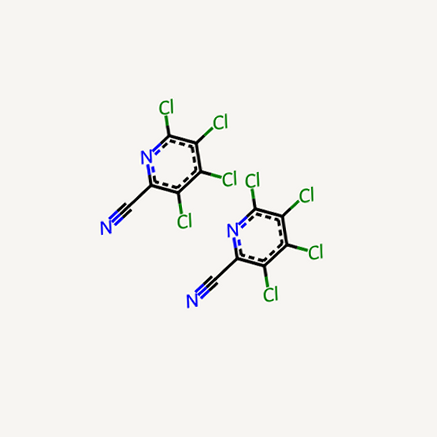 N#Cc1nc(Cl)c(Cl)c(Cl)c1Cl.N#Cc1nc(Cl)c(Cl)c(Cl)c1Cl